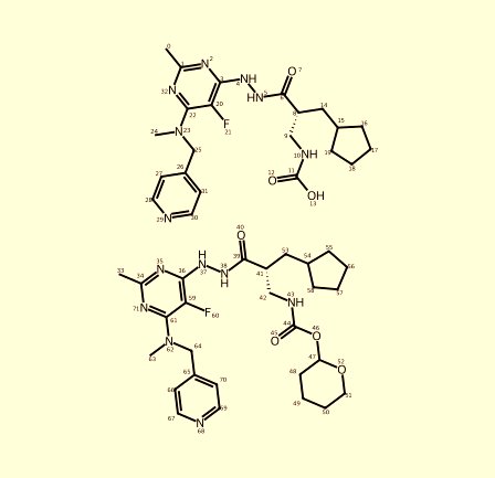 Cc1nc(NNC(=O)[C@@H](CNC(=O)O)CC2CCCC2)c(F)c(N(C)Cc2ccncc2)n1.Cc1nc(NNC(=O)[C@@H](CNC(=O)OC2CCCCO2)CC2CCCC2)c(F)c(N(C)Cc2ccncc2)n1